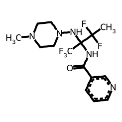 CN1CCN(NC(NC(=O)c2cccnc2)(C(C)(F)F)C(F)(F)F)CC1